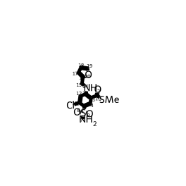 CSC(=O)c1cc(S(N)(=O)=O)c(Cl)cc1NCc1ccco1